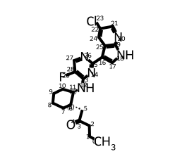 CCCC(=O)C[C@@H]1CCCC[C@H]1Nc1nc(-c2c[nH]c3ncc(Cl)cc23)ncc1F